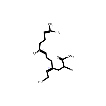 COC(=O)C(C/C(=C\CO)CC/C=C(\C)CCC=C(C)C)C(C)=O